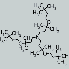 CC(C)(C)CCOC(C)(C)CCN(CCC(C)(C)OCCC(C)(C)C)CCC(C)(C)OCCC(C)(C)C